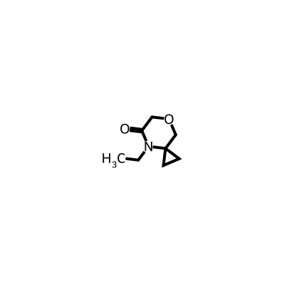 CCN1C(=O)COCC12CC2